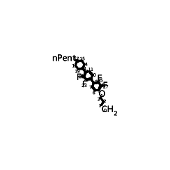 C=CCCOc1ccc(-c2ccc(C3CCC(CCCCC)CC3)c(F)c2F)c(F)c1F